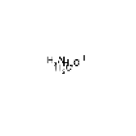 O.O.[AlH3].[Ti]